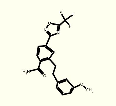 COc1cccc(CCc2cc(-c3noc(C(F)(F)F)n3)ccc2C(N)=O)c1